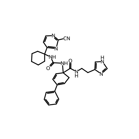 N#Cc1nccc(C2(NC(=O)NC3(C(=O)NCCc4c[nH]cn4)C=CC(c4ccccc4)=CC3)CCCCC2)n1